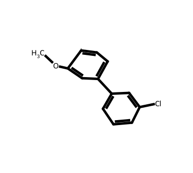 COc1[c]ccc(-c2cccc(Cl)c2)c1